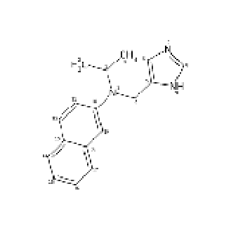 CC(C)N(Cc1cnc[nH]1)c1ccc2ccccc2c1